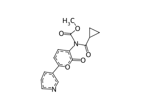 COC(=O)N(C(=O)C1CC1)c1ccc(-c2cccnc2)oc1=O